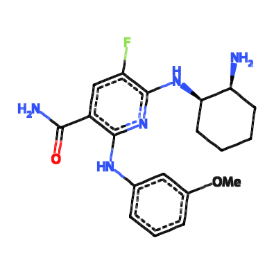 COc1cccc(Nc2nc(N[C@@H]3CCCC[C@@H]3N)c(F)cc2C(N)=O)c1